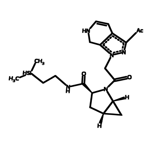 CC(=O)c1nn(CC(=O)N2[C@@H]3C[C@@H]3C[C@H]2C(=O)NCC[SiH](C)C)c2c1C=CNC2